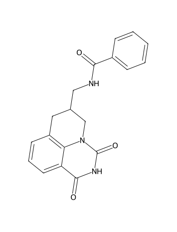 O=C(NCC1Cc2cccc3c(=O)[nH]c(=O)n(c23)C1)c1ccccc1